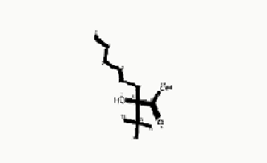 CCCCCCC(O)(C(=O)O)C(C)(C)C